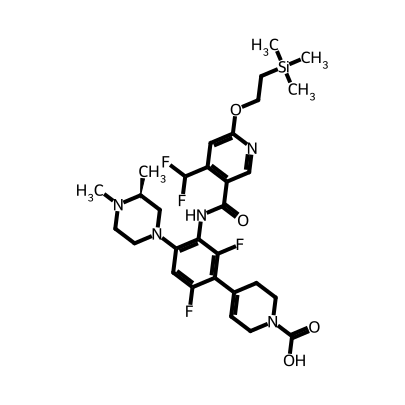 C[C@H]1CN(c2cc(F)c(C3=CCN(C(=O)O)CC3)c(F)c2NC(=O)c2cnc(OCC[Si](C)(C)C)cc2C(F)F)CCN1C